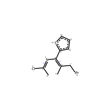 C/C(Cl)=N\C(=C(/C)CC(C)C)c1cccs1